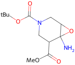 COC(=O)C1CN(C(=O)OC(C)(C)C)CC2OC21N